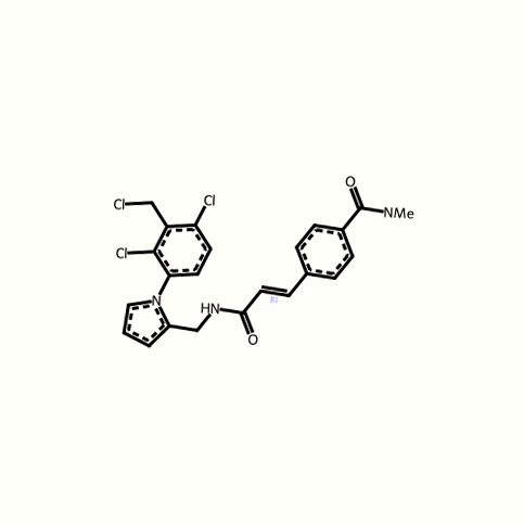 CNC(=O)c1ccc(/C=C/C(=O)NCc2cccn2-c2ccc(Cl)c(CCl)c2Cl)cc1